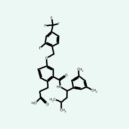 Cc1cc(C)cc(C(CC(C)C)NC(=O)c2cc(OCc3ccc(C(F)(F)F)cc3F)ccc2CCC(=O)O)c1